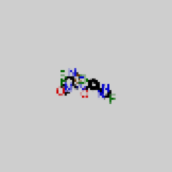 O=C(NCC(c1scnc1C(F)F)N1CCOCC1)c1cc(-c2ncc(F)cn2)ccc1Cl